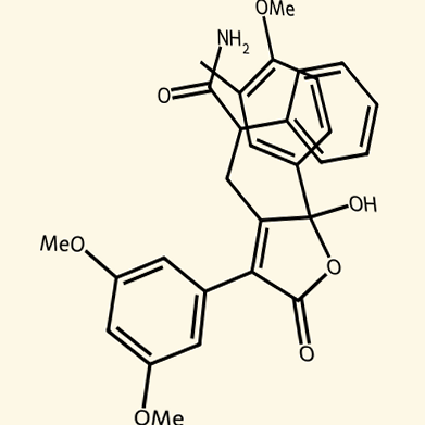 COc1cc(OC)cc(C2=C(CC(C(N)=O)c3ccccc3)C(O)(c3ccc(OC)c(C)c3)OC2=O)c1